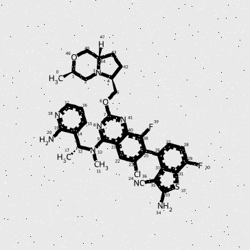 C[C@@H]1CN2[C@H](COc3nc(N(C)[C@H](C)c4cccnc4N)c4cc(Cl)c(-c5ccc(F)c6sc(N)c(C#N)c56)c(F)c4n3)CC[C@H]2CO1